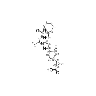 CCc1cc(C(=O)N2CCCCC[C@H]2C)nc2cc(-c3ccc(C4C[C@@H]4C(=O)O)cc3F)nn12